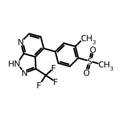 Cc1cc(-c2ccnc3[nH]nc(C(F)(F)F)c23)ccc1S(C)(=O)=O